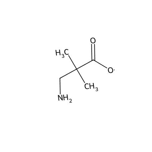 CC(C)(CN)C([O])=O